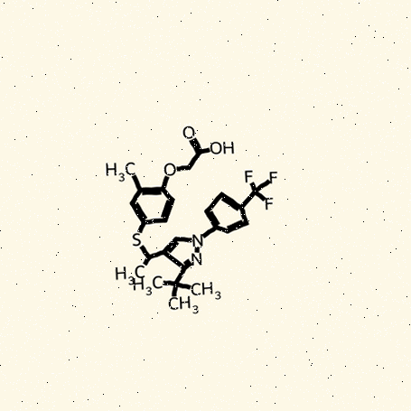 Cc1cc(SC(C)c2cn(-c3ccc(C(F)(F)F)cc3)nc2C(C)(C)C)ccc1OCC(=O)O